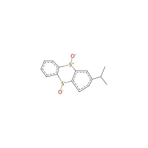 CC(C)c1ccc2c(c1)[S+]([O-])c1ccccc1[S+]2[O-]